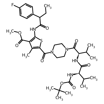 CCC(C(=O)Nc1sc(C(=O)N2CCN(C(=O)[C@H](NC(=O)[C@H](NC(=O)OC(C)(C)C)C(C)C)C(C)C)CC2)c(C)c1C(=O)OC)c1ccc(F)cc1